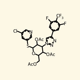 CC(=O)OCC1OC(Sc2cncc(Cl)c2)C(OC(C)=O)C(n2cc(-c3cc(F)c(C(F)(F)F)c(F)c3)nn2)C1OC(C)=O